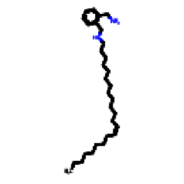 CCCCCCCC/C=C\CCCCCCCCCCCCNCc1ccccc1CN